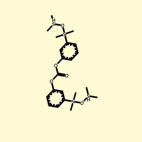 C[SiH](C)O[Si](C)(C)c1cccc(OC(=O)Oc2cccc([Si](C)(C)O[SiH](C)C)c2)c1